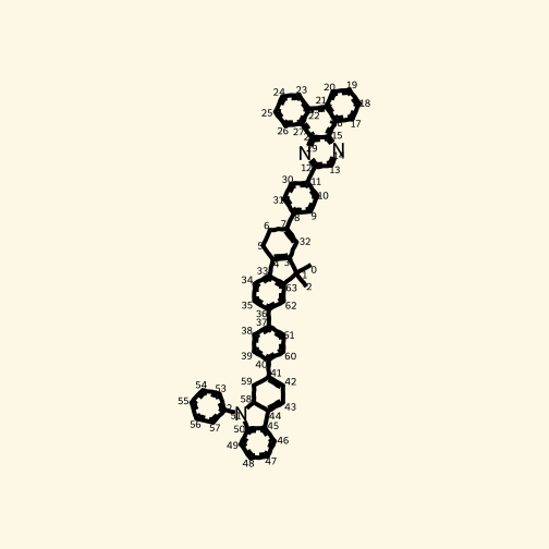 CC1(C)C2=C(CCC(c3ccc(-c4cnc5c6ccccc6c6ccccc6c5n4)cc3)=C2)c2ccc(-c3ccc(C4=CC=C5c6ccccc6N(c6ccccc6)C5C4)cc3)cc21